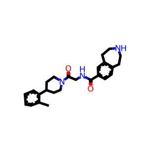 Cc1ccccc1C1CCN(C(=O)CNC(=O)c2ccc3c(c2)CCNCC3)CC1